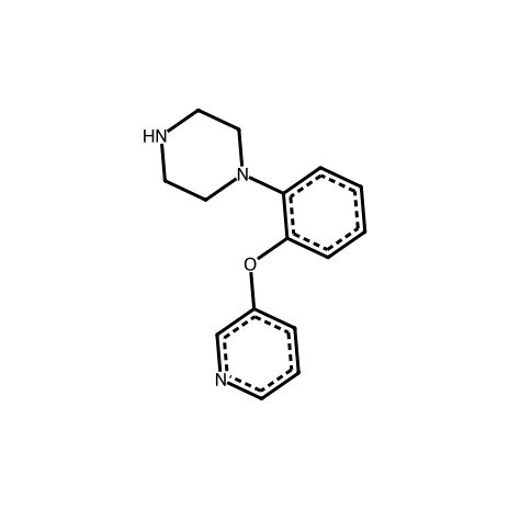 c1cncc(Oc2ccccc2N2CCNCC2)c1